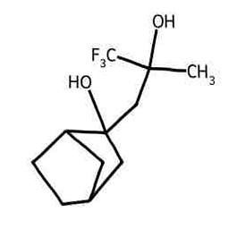 CC(O)(CC1(O)CC2CCC1C2)C(F)(F)F